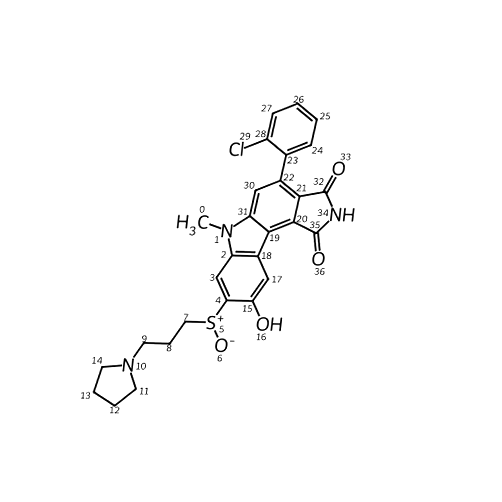 Cn1c2cc([S+]([O-])CCCN3CCCC3)c(O)cc2c2c3c(c(-c4ccccc4Cl)cc21)C(=O)NC3=O